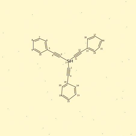 C(#C[SiH](C#Cc1ccccc1)C#Cc1ccccc1)c1ccccc1